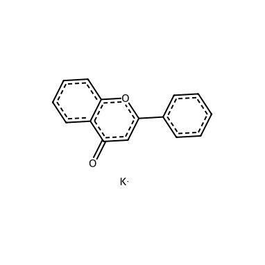 O=c1cc(-c2ccccc2)oc2ccccc12.[K]